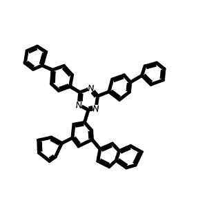 c1ccc(-c2ccc(-c3nc(-c4ccc(-c5ccccc5)cc4)nc(-c4cc(-c5ccccc5)cc(-c5ccc6ccccc6c5)c4)n3)cc2)cc1